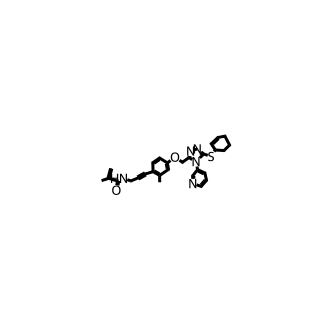 C=C(C)C(=O)NCC#Cc1ccc(OCc2nnc(SC3C=CCCC3)n2-c2cccnc2)cc1C